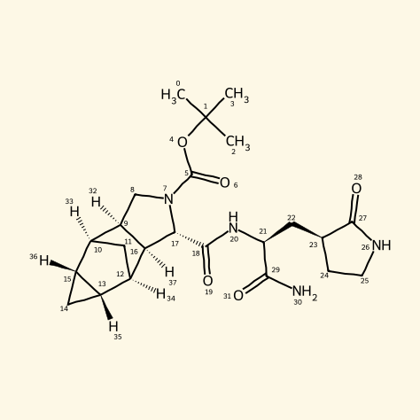 CC(C)(C)OC(=O)N1C[C@@H]2[C@H]3C[C@H]([C@@H]4C[C@@H]43)[C@@H]2[C@H]1C(=O)N[C@@H](C[C@@H]1CCNC1=O)C(N)=O